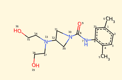 Cc1ccc(C)c(NC(=O)N2CC(N(CCO)CCO)C2)c1